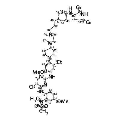 CCc1cc(Nc2ncc(Cl)c(Nc3ccc(OC)cc3N(C)S(C)(=O)=O)n2)c(OC)cc1N1CCC(N2CCN(CCCc3ccc(NC4CCC(=O)NC4=O)cc3)CC2)CC1